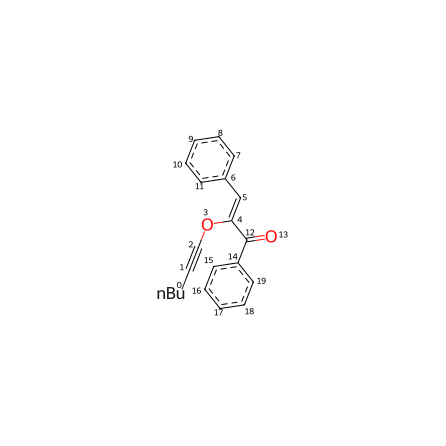 CCCCC#COC(=Cc1ccccc1)C(=O)c1ccccc1